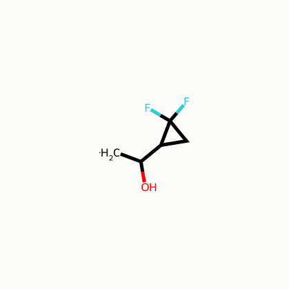 [CH2]C(O)C1CC1(F)F